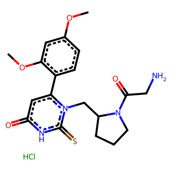 COc1ccc(-c2cc(=O)[nH]c(=S)n2CC2CCCN2C(=O)CN)c(OC)c1.Cl